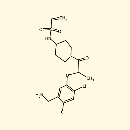 C=CS(=O)(=O)NC1CCN(C(=O)C(C)Oc2cc(CN)c(Cl)cc2Cl)CC1